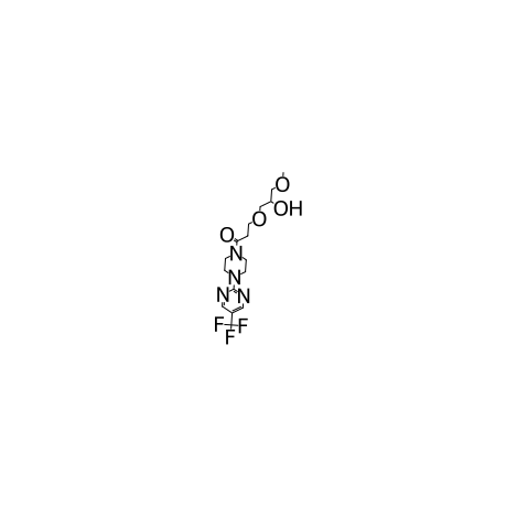 COCC(O)COCCC(=O)N1CCN(c2ncc(C(F)(F)F)cn2)CC1